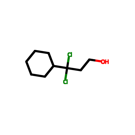 OCCC(Cl)(Cl)C1CCCCC1